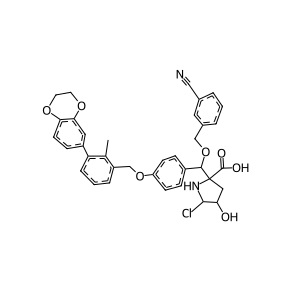 Cc1c(COc2ccc(C(OCc3cccc(C#N)c3)C3(C(=O)O)CC(O)C(Cl)N3)cc2)cccc1-c1ccc2c(c1)OCCO2